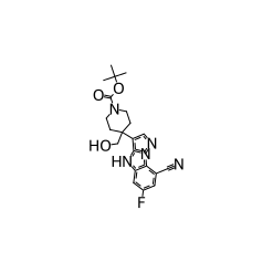 CC(C)(C)OC(=O)N1CCC(CO)(c2cnn3c2[nH]c2cc(F)cc(C#N)c23)CC1